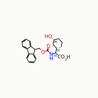 O=C(N[C@H](C(=O)O)[C@H]1CCC[C@@H](O)C1)OCC1c2ccccc2-c2ccccc21